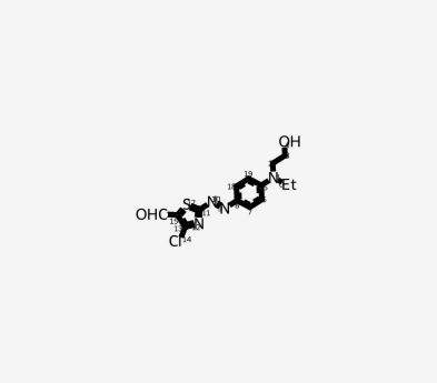 CCN(CCO)c1ccc(N=Nc2nc(Cl)c(C=O)s2)cc1